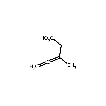 C=C=C(C)CC(=O)O